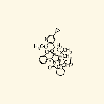 CC[C@@]1(C(=O)O)[C@@H](C(C)(C)C)[C@H](OCc2cc(C3CC3)cnc2OC)[C@H](c2ccccc2C)N1C(=O)C1CCCCO1